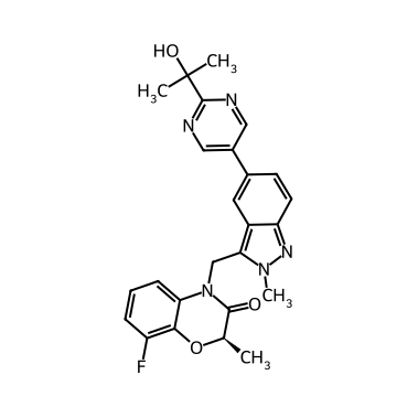 C[C@H]1Oc2c(F)cccc2N(Cc2c3cc(-c4cnc(C(C)(C)O)nc4)ccc3nn2C)C1=O